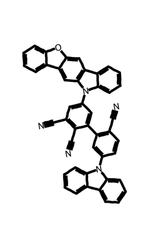 N#Cc1ccc(-n2c3ccccc3c3ccccc32)cc1-c1cc(-n2c3ccccc3c3cc4oc5ccccc5c4cc32)cc(C#N)c1C#N